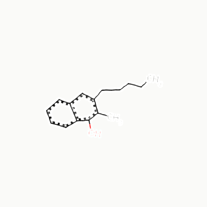 CCCCCc1cc2ccccc2c(O)c1C